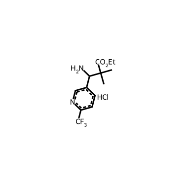 CCOC(=O)C(C)(C)C(N)c1ccc(C(F)(F)F)nc1.Cl